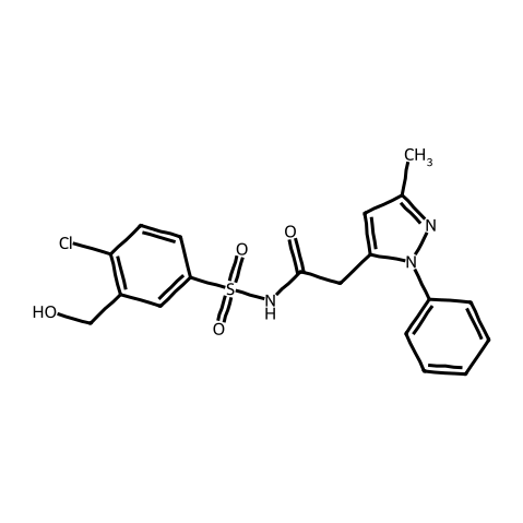 Cc1cc(CC(=O)NS(=O)(=O)c2ccc(Cl)c(CO)c2)n(-c2ccccc2)n1